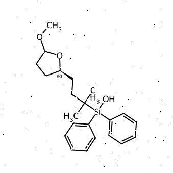 COC1CC[C@H](CCC(C)(C)[Si](O)(c2ccccc2)c2ccccc2)O1